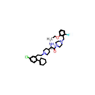 CCOc1cccc(F)c1CN1CCN(C(=O)[C@H](N)C2CCN(CCc3cc(Cl)ccc3C3=CCCCC3)CC2)CC1